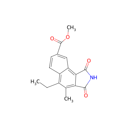 CCc1c(C)c2c(c3cc(C(=O)OC)ccc13)C(=O)NC2=O